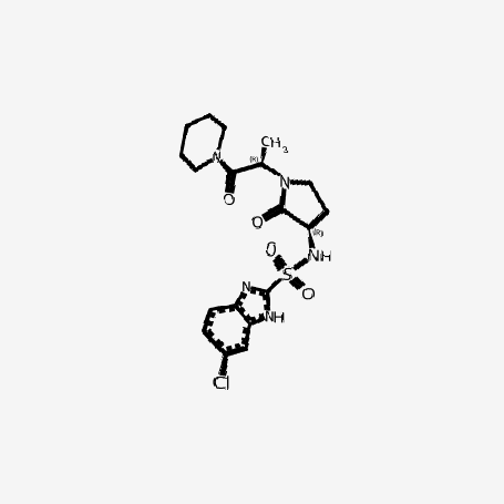 C[C@H](C(=O)N1CCCCC1)N1CC[C@@H](NS(=O)(=O)c2nc3ccc(Cl)cc3[nH]2)C1=O